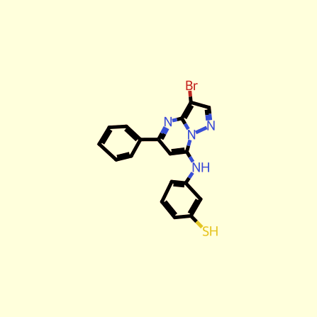 Sc1cccc(Nc2cc(-c3ccccc3)nc3c(Br)cnn23)c1